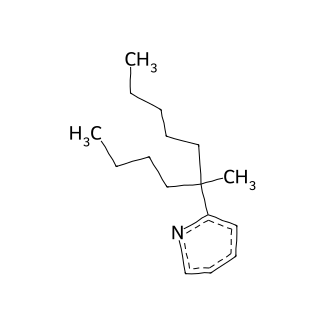 CCCCCC(C)(CCCC)c1ccccn1